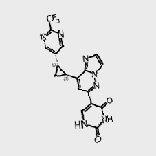 O=c1[nH]cc(-c2cc([C@H]3C[C@@H]3c3cnc(C(F)(F)F)nc3)c3nccn3n2)c(=O)[nH]1